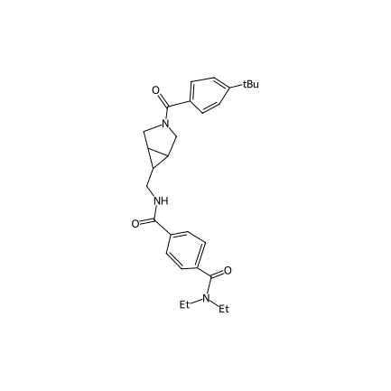 CCN(CC)C(=O)c1ccc(C(=O)NCC2C3CN(C(=O)c4ccc(C(C)(C)C)cc4)CC23)cc1